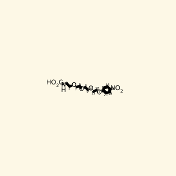 O=C(O)NCCOCCOCCOCCOc1ccc([N+](=O)[O-])cc1